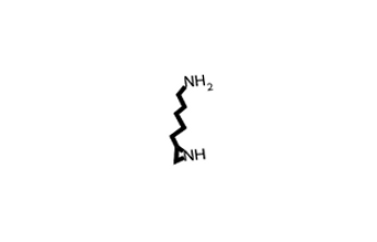 NCCCCCC1CN1